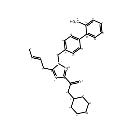 C/C=C/Cc1nc(C(=O)CC2CCCCC2)nn1Cc1ccc(-c2ccccc2C(=O)O)cc1